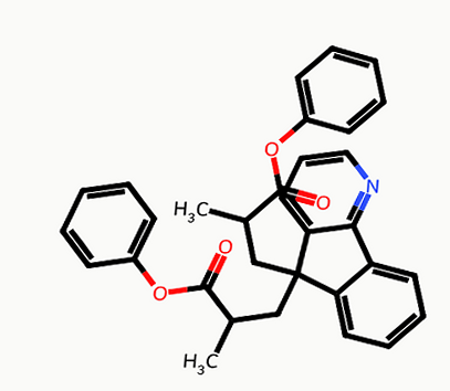 CC(CC1(CC(C)C(=O)Oc2ccccc2)c2ccccc2-c2ncccc21)C(=O)Oc1ccccc1